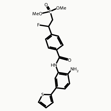 COP(=O)(CC(F)c1ccc(C(=O)Nc2cc(-c3cccs3)ccc2N)cc1)OC